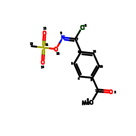 COC(=O)c1ccc(/C(Cl)=N\OS(C)(=O)=O)cc1